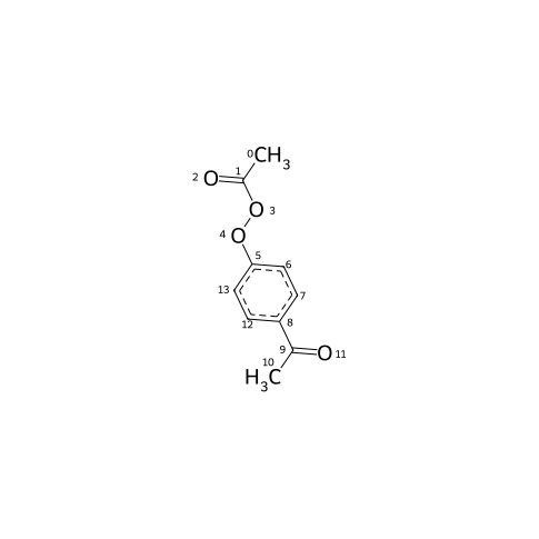 CC(=O)OOc1ccc(C(C)=O)cc1